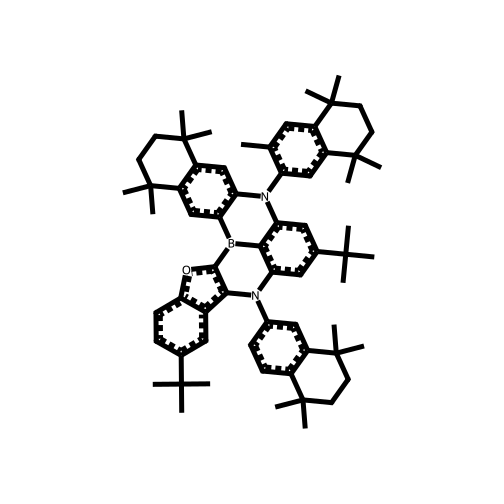 Cc1cc2c(cc1N1c3cc4c(cc3B3c5oc6ccc(C(C)(C)C)cc6c5N(c5ccc6c(c5)C(C)(C)CCC6(C)C)c5cc(C(C)(C)C)cc1c53)C(C)(C)CCC4(C)C)C(C)(C)CCC2(C)C